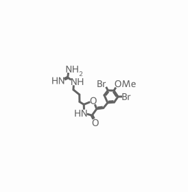 COc1c(Br)cc(/C=C2\OC(CCCNC(=N)N)NC2=O)cc1Br